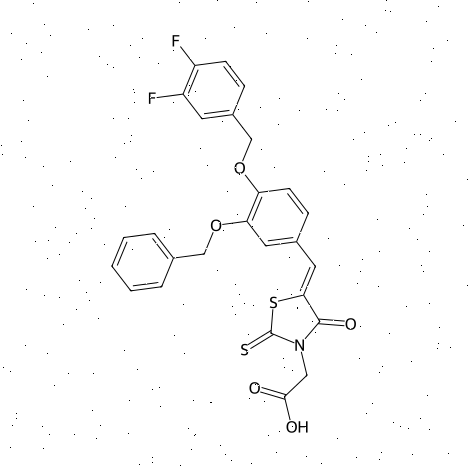 O=C(O)CN1C(=O)C(=Cc2ccc(OCc3ccc(F)c(F)c3)c(OCc3ccccc3)c2)SC1=S